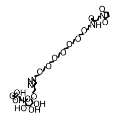 O=C(CCN1C(=O)C=CC1=O)NCCOCCOCCOCCOCCOCCOCCOCCn1cc(CCO[C@H]2O[C@H](CCP(=O)(O)O)[C@@H](O)[C@H](O)[C@@H]2O)nn1